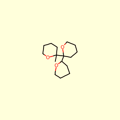 CC1(C2([C]3CCCCO3)CCCCO2)CCCCO1